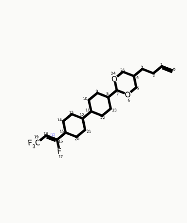 C=CCCC1COC(C2CCC(C3CCC(/C(F)=C/C(F)(F)F)CC3)CC2)OC1